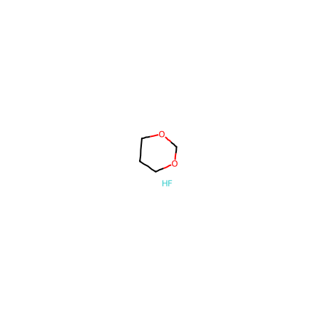 C1COCOC1.F